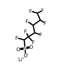 O=S(=O)([O-])C(F)C(F)(F)C(F)C(F)C(F)C(F)F.[Li+]